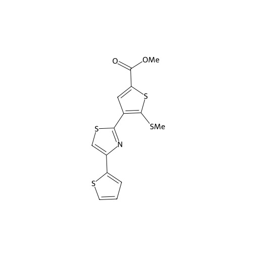 COC(=O)c1cc(-c2nc(-c3cccs3)cs2)c(SC)s1